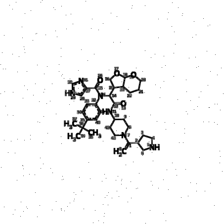 C=C(C1CCNC1)N1CCC(NC(=O)C(C2COC3OCCCC32)N(C(=O)c2c[nH]cn2)c2ccc(C(C)(C)C)cc2)CC1